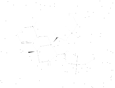 CC(C)(CBr)OC(=O)C1NC[C@H]2C[C@]1(C(=O)OC(C)(C)CBr)Cn1c2cccc1=O